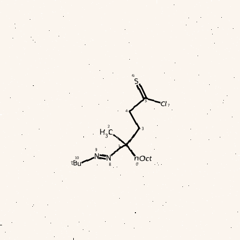 CCCCCCCCC(C)(CCC(=S)Cl)N=NC(C)(C)C